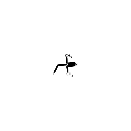 CS(C)(#N)CI